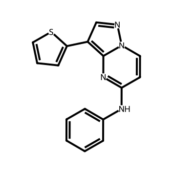 c1ccc(Nc2ccn3ncc(-c4cccs4)c3n2)cc1